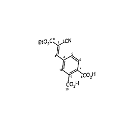 CCOC(=O)C(C#N)=Cc1ccc(C(=O)O)c(C(=O)O)c1